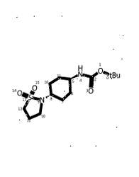 CC(C)(C)OC(=O)N[C@H]1CC[C@H](N2CCCS2(=O)=O)CC1